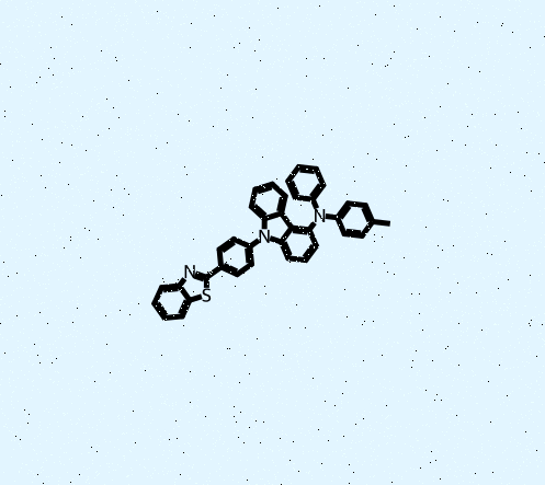 Cc1ccc(N(c2ccccc2)c2cccc3c2c2ccccc2n3-c2ccc(-c3nc4ccccc4s3)cc2)cc1